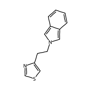 c1ccc2cn(CCc3cscn3)cc2c1